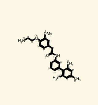 COc1cc(CC(=O)Nc2cccc(-c3c(C)cc(C)cc3C)c2)ccc1OCCN